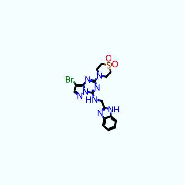 O=S1(=O)CCN(c2nc(NCc3nc4ccccc4[nH]3)n3ncc(Br)c3n2)CC1